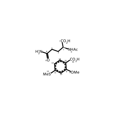 CC(=O)N[C@@H](CCC(N)=O)C(=O)O.COc1cc(SC)ccc1C(=O)O